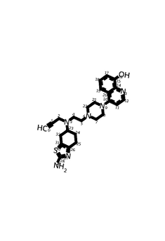 C#CCN(CCN1CCN(c2ccnc3c(O)cccc23)CC1)C1CCc2nc(N)sc2C1